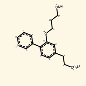 CCOC(=O)CCc1ccc(-c2cccnc2)c(OCCCOC)c1